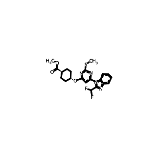 COC(=O)[C@H]1CC[C@H](Oc2cc(-n3c(C(F)F)nc4ccccc43)nc(SC)n2)CC1